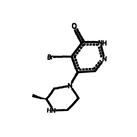 C[C@H]1CN(c2cn[nH]c(=O)c2Br)CCN1